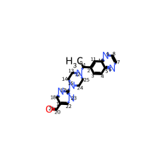 CC(c1ccc2nccnc2c1)N1CCN(c2ncc(C=O)cn2)CC1